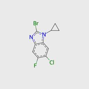 Fc1cc2nc(Br)n(C3CC3)c2cc1Cl